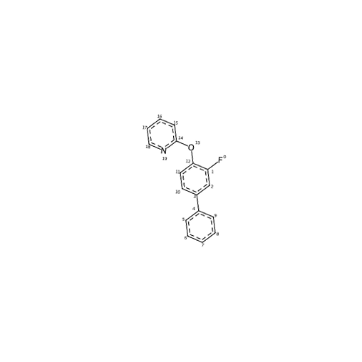 Fc1cc(-c2ccccc2)ccc1Oc1ccccn1